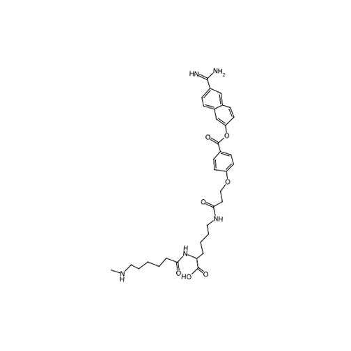 CNCCCCCC(=O)NC(CCCCNC(=O)CCOc1ccc(C(=O)Oc2ccc3cc(C(=N)N)ccc3c2)cc1)C(=O)O